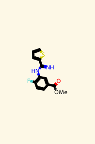 COC(=O)c1ccc(F)c(NC(=N)c2cccs2)c1